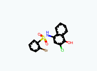 O=S(=O)(Nc1cc(Cl)c(O)c2ccccc12)c1ccccc1Br